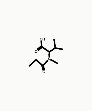 CCC(=O)N(C)C(C(=O)O)C(C)C